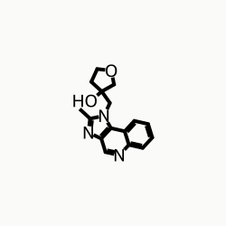 Cc1nc2cnc3ccccc3c2n1CC1(O)CCOC1